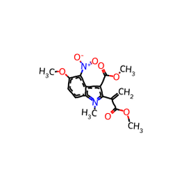 C=C(C(=O)OC)c1c(C(=O)OC)c2c([N+](=O)[O-])c(OC)ccc2n1C